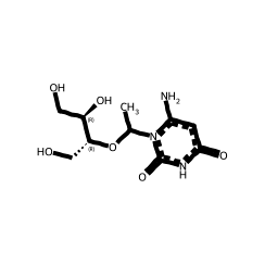 CC(O[C@H](CO)[C@H](O)CO)n1c(N)cc(=O)[nH]c1=O